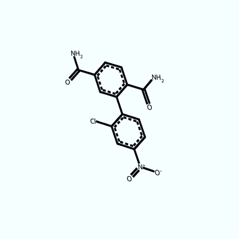 NC(=O)c1ccc(C(N)=O)c(-c2ccc([N+](=O)[O-])cc2Cl)c1